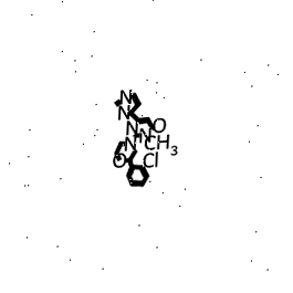 Cn1c(N2CCOC(c3ccccc3Cl)C2)nc(-c2ccncn2)cc1=O